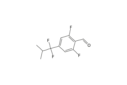 CC(C)C(F)(F)c1cc(F)c(C=O)c(F)c1